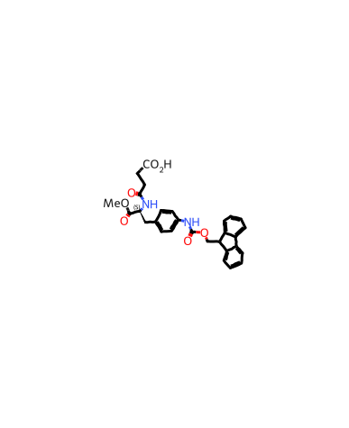 COC(=O)[C@H](Cc1ccc(NC(=O)OCC2c3ccccc3-c3ccccc32)cc1)NC(=O)CCC(=O)O